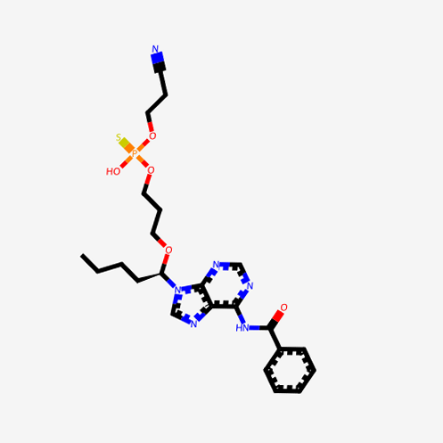 CCCC[C@@H](OCCCOP(O)(=S)OCCC#N)n1cnc2c(NC(=O)c3ccccc3)ncnc21